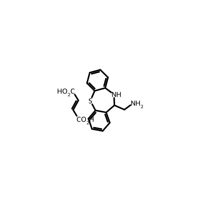 NCC1Nc2ccccc2Sc2ccccc21.O=C(O)C=CC(=O)O